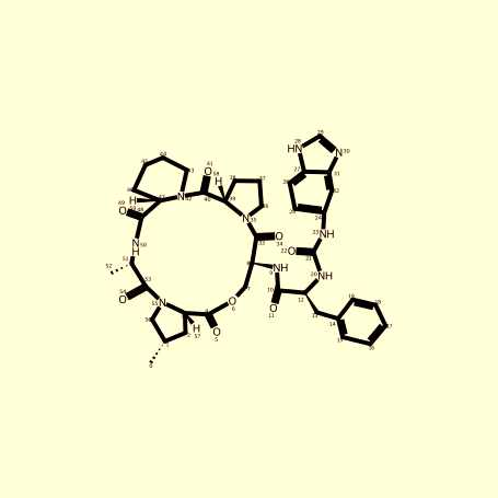 C[C@H]1C[C@H]2C(=O)OC[C@H](NC(=O)[C@H](Cc3ccccc3)NC(=O)Nc3ccc4[nH]cnc4c3)C(=O)N3CCC[C@H]3C(=O)N3CCCC[C@H]3C(=O)N[C@@H](C)C(=O)N2C1